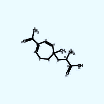 CC(=O)C1=CCCC(C)(CC(N)C(=O)O)C=C1